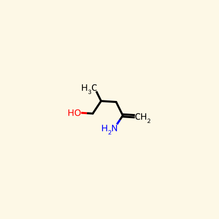 C=C(N)CC(C)CO